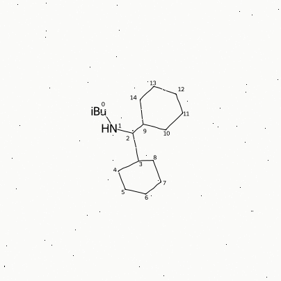 CCC(C)N[C](C1CCCCC1)C1CCCCC1